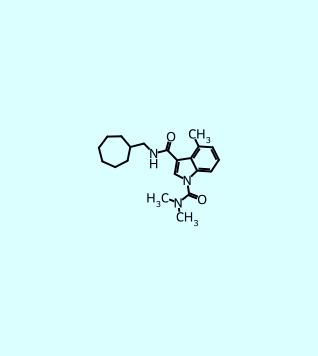 Cc1cccc2c1c(C(=O)NCC1CCCCCC1)cn2C(=O)N(C)C